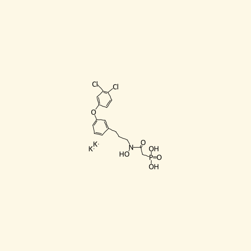 O=C(CP(=O)(O)O)N(O)CCCc1cccc(Oc2ccc(Cl)c(Cl)c2)c1.[K].[K]